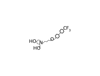 OCC1CC(O)CCN1CCCCCOCc1ccc(-c2ccc(C(F)(F)F)cc2)cc1